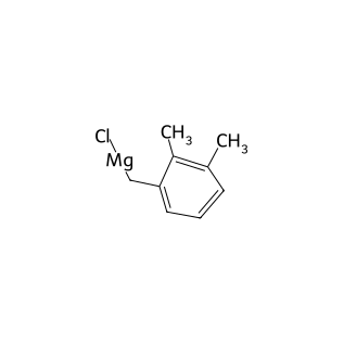 Cc1cccc([CH2][Mg][Cl])c1C